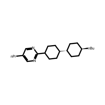 CCCC[C@H]1CC[C@H](C2CCC(c3ncc(CCC)cn3)CC2)CC1